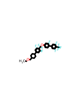 CCOCC1CCC(c2cc(F)c(C(F)(F)Oc3ccc(-c4cc(F)c(C(F)(F)F)c(F)c4)c(F)c3)c(F)c2)CC1